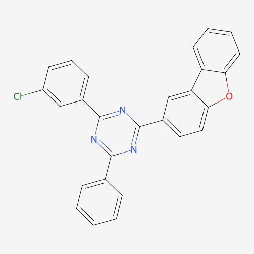 Clc1cccc(-c2nc(-c3ccccc3)nc(-c3ccc4oc5ccccc5c4c3)n2)c1